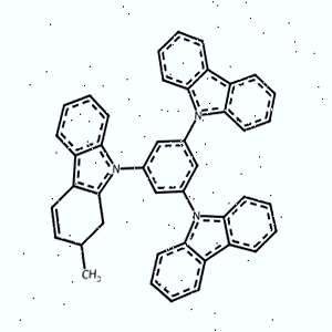 CC1C=Cc2c(n(-c3cc(-n4c5ccccc5c5ccccc54)cc(-n4c5ccccc5c5ccccc54)c3)c3ccccc23)C1